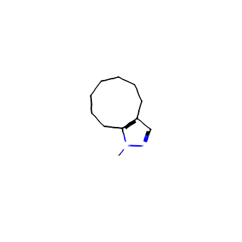 Cn1ncc2c1CCCCCCC2